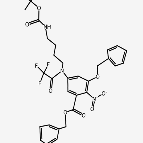 CC(C)(C)OC(=O)NCCCCN(C(=O)C(F)(F)F)c1cc(OCc2ccccc2)c([N+](=O)[O-])c(C(=O)OCc2ccccc2)c1